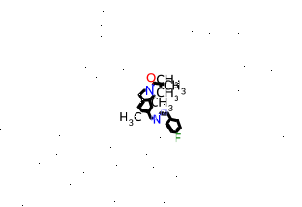 CC1=C(/C=N\C=C/c2ccc(F)cc2)CC2(C)CN(C(=O)C(C)(C)C)CCC2=C1